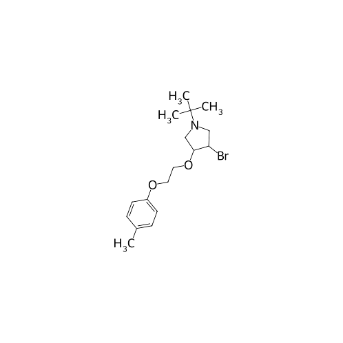 Cc1ccc(OCCOC2CN(C(C)(C)C)CC2Br)cc1